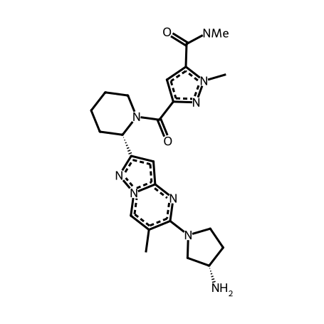 CNC(=O)c1cc(C(=O)N2CCCC[C@H]2c2cc3nc(N4CC[C@H](N)C4)c(C)cn3n2)nn1C